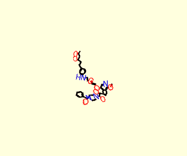 COc1ncc(OCCOCCNc2ccc(CCC(=O)CC(C)=O)cc2)c2c1CC=C2C(=O)C(=O)N1CCN(C(=O)c2ccccc2)CC1